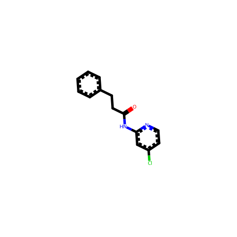 O=C(CCc1ccccc1)Nc1cc(Cl)ccn1